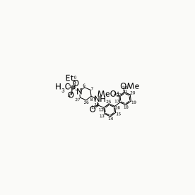 CCOP(C)(=O)N1CCC(NC(=O)c2cccc(-c3cccc(OC)c3OC)c2)CC1